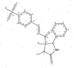 CN1C(=O)NC(c2ccccc2)C1(C)C(=O)/C=C/c1ccc(S(C)(=O)=O)cc1